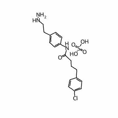 NNCCc1ccc(NC(=O)CCCc2ccc(Cl)cc2)cc1.O=S(=O)(O)O